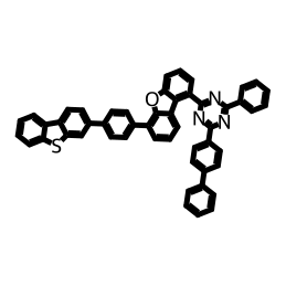 c1ccc(-c2ccc(-c3nc(-c4ccccc4)nc(-c4cccc5oc6c(-c7ccc(-c8ccc9c(c8)sc8ccccc89)cc7)cccc6c45)n3)cc2)cc1